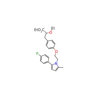 CCOC(=O)C(Cc1ccc(OCCn2c(C)ccc2-c2ccc(F)cc2)cc1)OCC